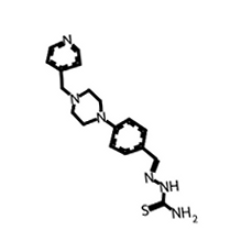 NC(=S)N/N=C/c1ccc(N2CCN(Cc3ccncc3)CC2)cc1